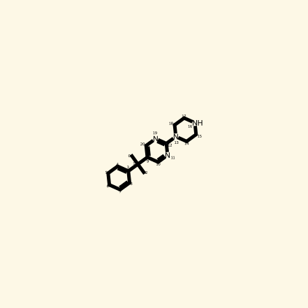 CC(C)(C1=CCCC=C1)c1cnc(N2CCNCC2)nc1